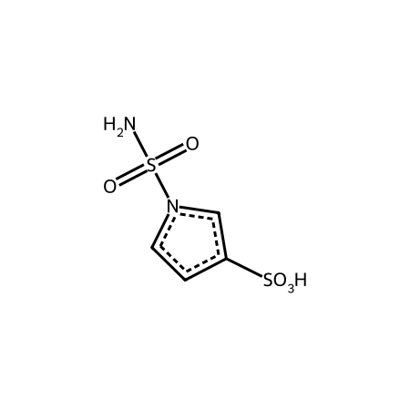 NS(=O)(=O)n1ccc(S(=O)(=O)O)c1